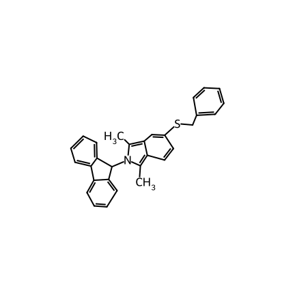 Cc1c2ccc(SCc3ccccc3)cc2c(C)n1C1c2ccccc2-c2ccccc21